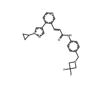 O=C(/C=C/c1cnccc1-c1cnn(C2CC2)c1)Nc1ccc(CN2CC(F)(F)C2)cc1